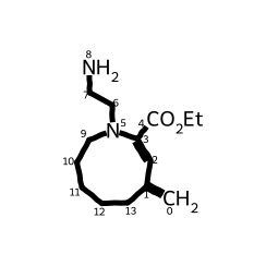 C=C1/C=C(/C(=O)OCC)N(CCN)CCCCC1